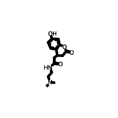 CN(C)CCNC(=O)CC1CC(=O)Oc2cc(O)ccc21